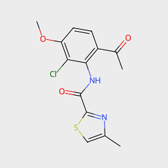 COc1ccc(C(C)=O)c(NC(=O)c2nc(C)cs2)c1Cl